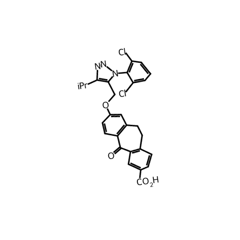 CC(C)c1nnn(-c2c(Cl)cccc2Cl)c1COc1ccc2c(c1)CCc1ccc(C(=O)O)cc1C2=O